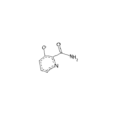 NC(=O)c1ncccc1[O]